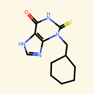 O=c1[nH]c(=S)n(CC2CCCCC2)c2nc[nH]c12